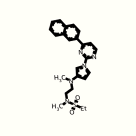 CCS(=O)(=O)N(C)CCN(C)c1ccn(-c2nccc(-c3ccc4ccccc4c3)n2)c1